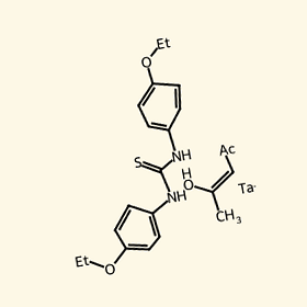 CC(=O)/C=C(/C)O.CCOc1ccc(NC(=S)Nc2ccc(OCC)cc2)cc1.[Ta]